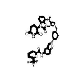 CN(c1cccc2c1n(C)c(=O)n2C1CCC(=O)NC1=O)C1CN(C[C@H]2CC[C@H](n3cc4cc(NC(=O)c5cccc(C(F)(F)F)n5)ccc4n3)CC2)C1